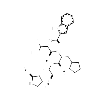 CC(C)[C@H](NC(=O)c1cc2ccccc2[nH]1)C(=C=O)N[C@@H](CC1CCCC1)C(=C=O)N[C@H](C=C=O)C[C@@H]1CCNC1=C=O